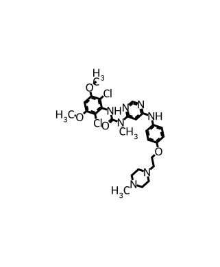 COc1cc(OC)c(Cl)c(NC(=O)N(C)c2cc(Nc3ccc(OCCN4CCN(C)CC4)cc3)ncn2)c1Cl